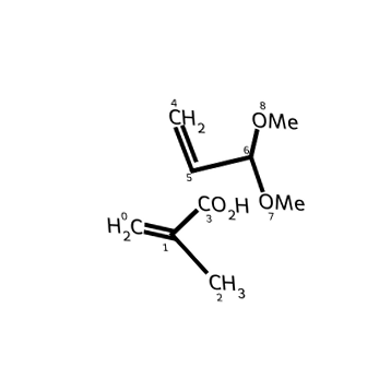 C=C(C)C(=O)O.C=CC(OC)OC